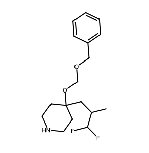 CC(CC1(OCOCc2ccccc2)CCNCC1)C(F)F